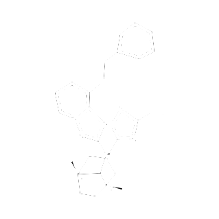 Cc1nsc(N2C[C@H]3CC[C@@H](C2)C3Nc2nc3c(OCc4ccccc4)cccn3n2)n1